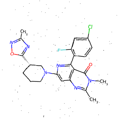 Cc1noc([C@H]2CCCN(c3cc4nc(C)n(C)c(=O)c4c(-c4ccc(Cl)cc4F)n3)C2)n1